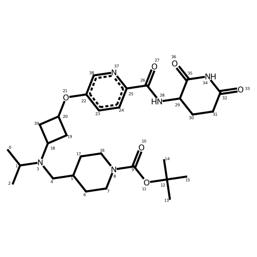 CC(C)N(CC1CCN(C(=O)OC(C)(C)C)CC1)C1CC(Oc2ccc(C(=O)NC3CCC(=O)NC3=O)nc2)C1